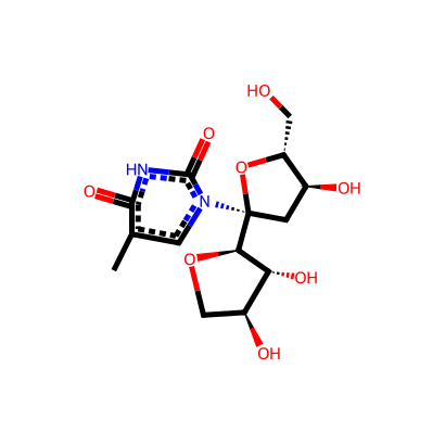 Cc1cn([C@@]2([C@@H]3OC[C@H](O)[C@H]3O)C[C@H](O)[C@@H](CO)O2)c(=O)[nH]c1=O